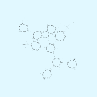 Cc1cccc(-c2ccc3c(c2)c2ccccc2n3-c2c(-c3ccc(C(F)(F)F)cc3)cc(-c3cc(-c4ccccc4)nc(-c4ccccc4)n3)cc2-c2ccc(C(F)(F)F)cc2)c1